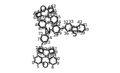 c1ccc2c(c1)Oc1ccccc1C21c2ccccc2-c2c(-c3ccc(N(c4ccc(-c5ccc6c(c5)sc5ccccc56)cc4)c4cccc5c4-c4ccccc4C54c5ccccc5Oc5ccccc54)cc3)cccc21